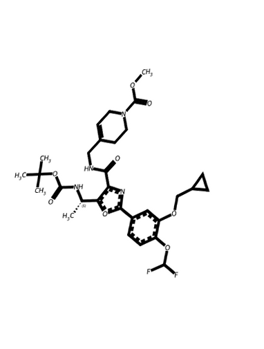 COC(=O)N1CC=C(CNC(=O)c2nc(-c3ccc(OC(F)F)c(OCC4CC4)c3)oc2[C@H](C)NC(=O)OC(C)(C)C)CC1